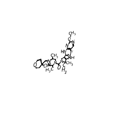 CCOc1ncc(F)c(Nc2n[nH]c3c2CN(C(=O)N2CC(C)N(CC4(O)CCOCC4)CC2C)C3(C)C)n1